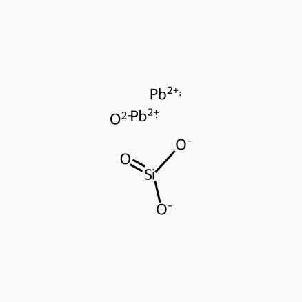 O=[Si]([O-])[O-].[O-2].[Pb+2].[Pb+2]